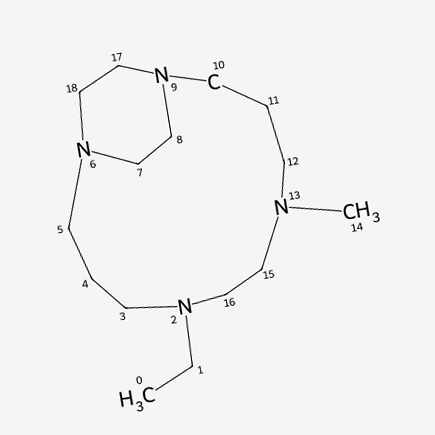 CCN1CCCN2CCN(CCCN(C)CC1)CC2